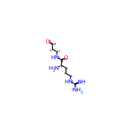 N=C(N)NCCC[C@@H](N)C(=O)NCCC=O